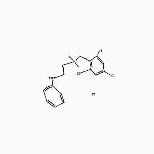 C[N+](C)(CCNc1ccccc1)Cc1c(Cl)cc(Cl)cc1Cl.[Cl-]